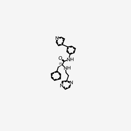 O=C(Nc1cccc(-c2ccncc2)c1)[C@H](Cc1ccccc1)NCCc1cnccn1